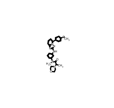 COc1ccc(-c2cccc3nc(Nc4cccc(N(C)C(=O)C(C)N5CCOCC5)c4)nn23)cc1